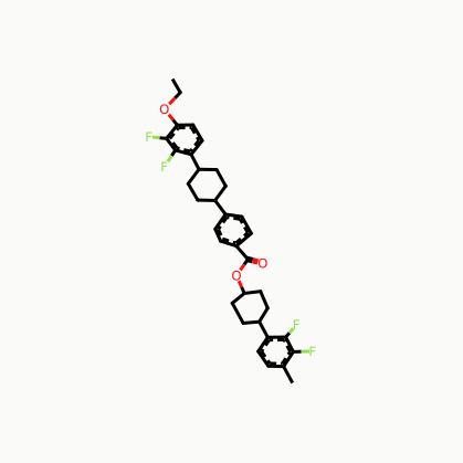 CCOc1ccc(C2CCC(c3ccc(C(=O)OC4CCC(c5ccc(C)c(F)c5F)CC4)cc3)CC2)c(F)c1F